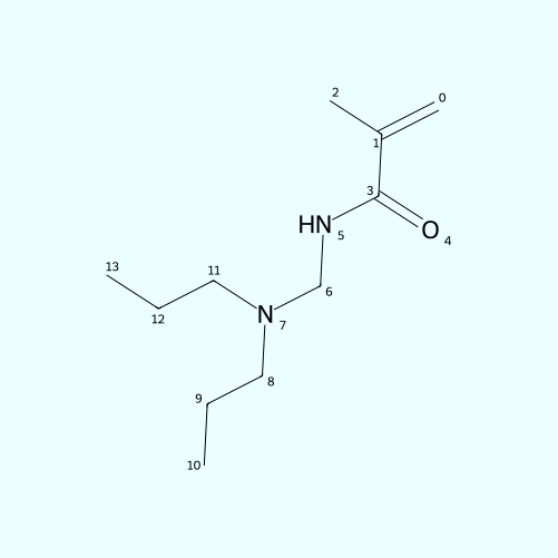 C=C(C)C(=O)NCN(CCC)CCC